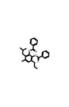 CCCc1cc(C)c(CC(C)C)c(OC(=O)c2ccccc2)c1OC(=O)c1ccccc1